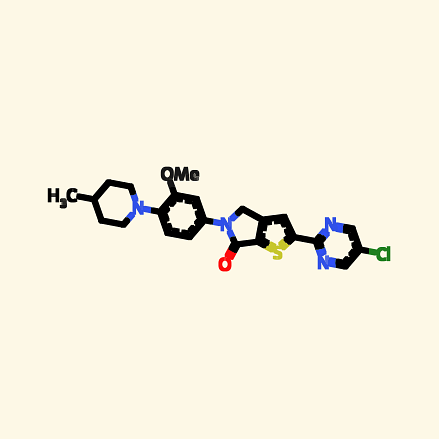 COc1cc(N2Cc3cc(-c4ncc(Cl)cn4)sc3C2=O)ccc1N1CCC(C)CC1